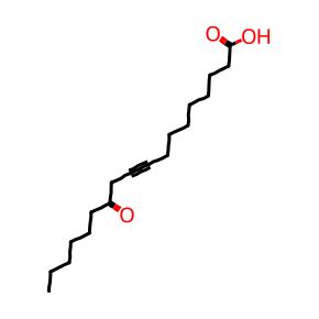 CCCCCCC(=O)CC#CCCCCCCCC(=O)O